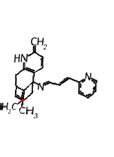 C=C1C=CC2=C(CC3C=C(C)CC2(/N=C/C=C/c2ccccn2)/C3=C/C)N1